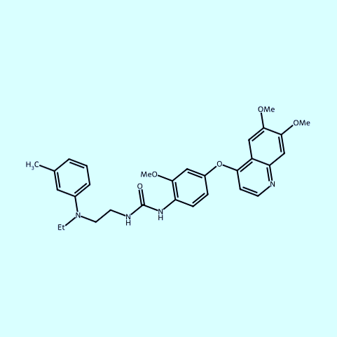 CCN(CCNC(=O)Nc1ccc(Oc2ccnc3cc(OC)c(OC)cc23)cc1OC)c1cccc(C)c1